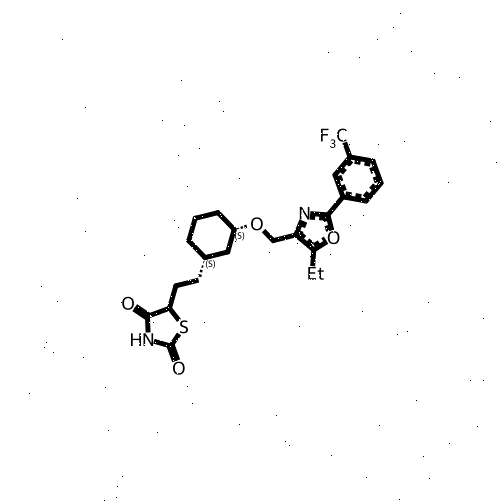 CCc1oc(-c2cccc(C(F)(F)F)c2)nc1CO[C@H]1CCC[C@@H](CCC2SC(=O)NC2=O)C1